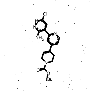 CC(C)(C)OC(=O)N1CC=C(c2ccnc(-c3cc(Cl)nnc3N)c2)CC1